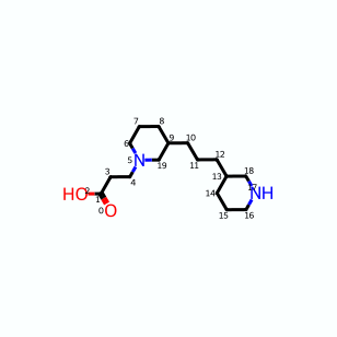 O=C(O)CCN1CCCC(CCCC2CCCNC2)C1